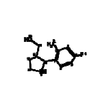 Cc1cc(F)ccc1C1NCCC1CO